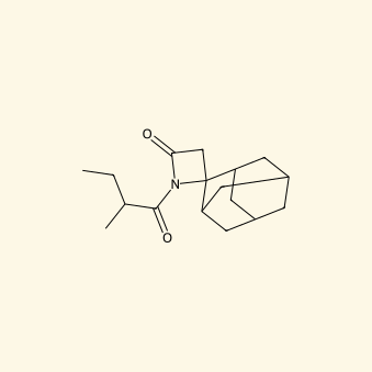 CCC(C)C(=O)N1C(=O)CC12C1CC3CC(C1)CC2C3